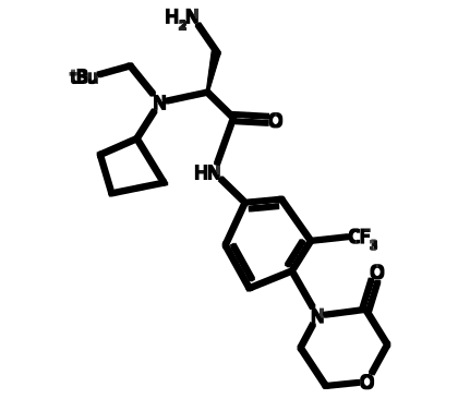 CC(C)(C)CN(C1CCC1)[C@@H](CN)C(=O)Nc1ccc(N2CCOCC2=O)c(C(F)(F)F)c1